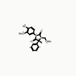 COCN1C(=O)N(c2ccc(C#N)c(OC)c2)C(=O)C1(C)c1cc[c]cc1